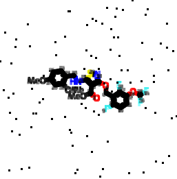 COC(=O)c1c(OCc2c(F)ccc(OC(F)F)c2F)nsc1NCc1ccc(OC)cc1OC